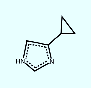 c1nc([C]2CC2)c[nH]1